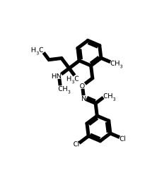 CCCC(C)(NC)c1cccc(C)c1CO/N=C(\C)c1cc(Cl)cc(Cl)c1